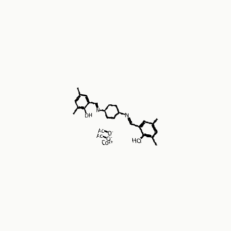 CC(=O)[O-].CC(=O)[O-].Cc1cc(C)c(O)c(C=NC2CCC(N=Cc3cc(C)cc(C)c3O)CC2)c1.[Co+2]